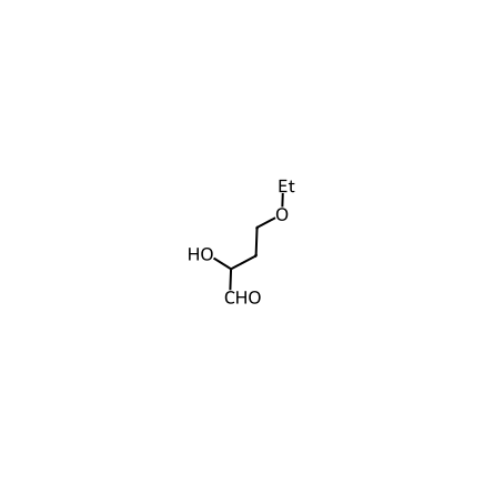 CCOCCC(O)C=O